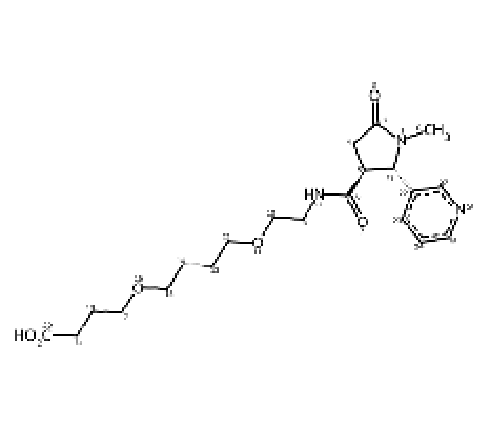 CN1C(=O)C[C@H](C(=O)NCCOCCCCOCCCC(=O)O)[C@H]1c1cccnc1